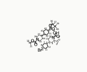 CC(C)C1CC(c2ccc(Br)cc2)CCN1C(=O)O.CC(C)OC(=O)N1CCC(c2ccc(B3OC(C)(C)C(C)(C)O3)cc2)CC1